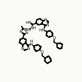 Cc1nc(-c2ccc3ncnc(Nc4ccc(OCc5ccccc5)cc4)c3c2)no1.N=C(NO)c1ccc2ncnc(Nc3ccc(OCc4ccccc4)cc3)c2c1